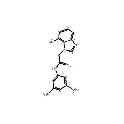 COc1cc(NC(=O)Cn2cnc3cccc(OC)c32)cc(OC)c1